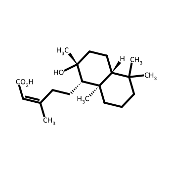 C/C(=C/C(=O)O)CC[C@H]1[C@]2(C)CCCC(C)(C)[C@H]2CC[C@@]1(C)O